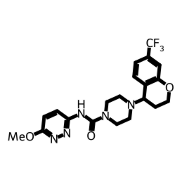 COc1ccc(NC(=O)N2CCN(C3CCOc4cc(C(F)(F)F)ccc43)CC2)nn1